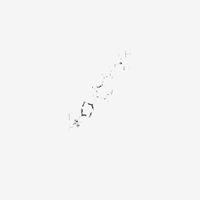 CC(=O)OCCC1=NC(c2ccc(C(F)(F)F)cc2)CO1